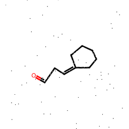 O=CCC=C1CCCCC1